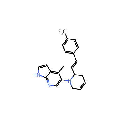 Cc1c(N2CC=CCC2C=Cc2ccc(C(F)(F)F)cc2)cnc2[nH]ccc12